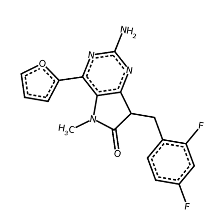 CN1C(=O)C(Cc2ccc(F)cc2F)c2nc(N)nc(-c3ccco3)c21